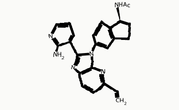 C=Cc1ccc2nc(-c3cccnc3N)n(-c3ccc4c(c3)CC[C@@H]4NC(C)=O)c2n1